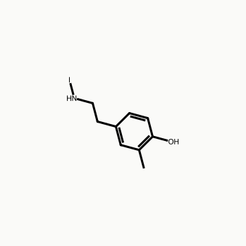 Cc1cc(CCNI)ccc1O